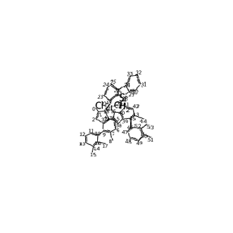 CC1=Cc2c(ccc(C)c2-c2cccc(C)c2C)[CH]1[Zr]([Cl])([Cl])([c]1cccc2c1[SiH2]c1ccccc1-2)[CH]1C(C)=Cc2c1ccc(C)c2-c1cccc(C)c1C